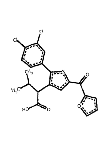 CC(C)C(C(=O)O)c1cc(C(=O)c2ccco2)sc1-c1ccc(Cl)c(Cl)c1